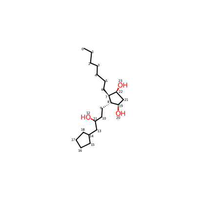 CCCCCCC[C@@H]1[C@@H](CCC(O)CC2CCCC2)[C@H](O)C[C@@H]1O